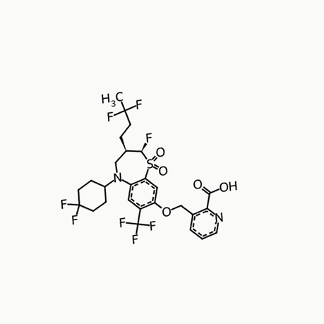 CC(F)(F)CC[C@@H]1CN(C2CCC(F)(F)CC2)c2cc(C(F)(F)F)c(OCc3cccnc3C(=O)O)cc2S(=O)(=O)[C@@H]1F